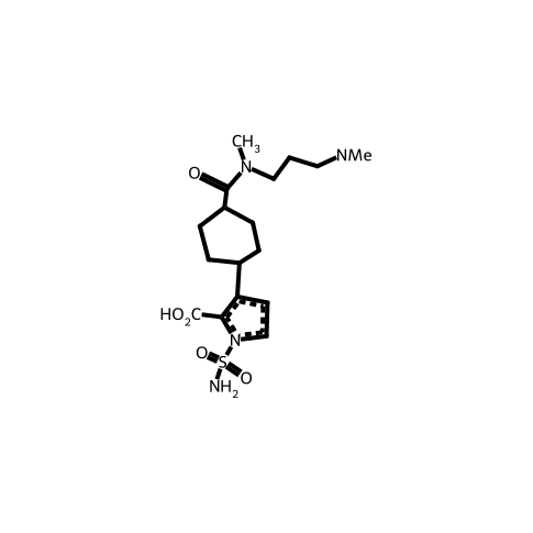 CNCCCN(C)C(=O)C1CCC(c2ccn(S(N)(=O)=O)c2C(=O)O)CC1